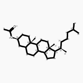 CC(=O)O[C@H]1CC[C@@]2(C)C(CCC3C2CC[C@@]2(C)C3CCC2[C@H](C)CCCC(C)C)C1